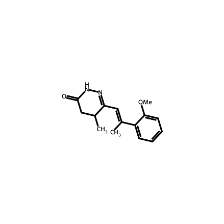 COc1ccccc1C(C)=CC1=NNC(=O)CC1C